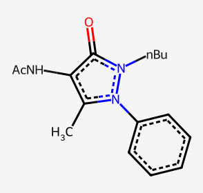 CCCCn1c(=O)c(NC(C)=O)c(C)n1-c1ccccc1